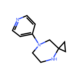 c1cc(N2CCNC3(CC3)C2)ccn1